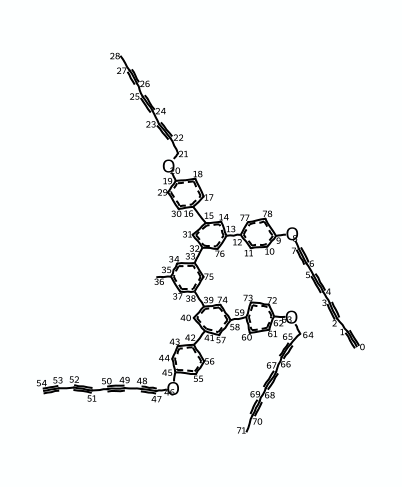 C#CC#CC#CC#COc1ccc(-c2cc(-c3ccc(OCC#CC#CC#CC)cc3)cc(-c3cc(C)cc(-c4cc(-c5ccc(OC#CC#CC#CC#C)cc5)cc(-c5ccc(OCC#CC#CC#CC)cc5)c4)c3)c2)cc1